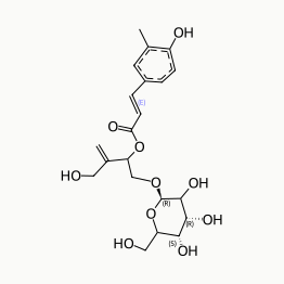 C=C(CO)C(CO[C@@H]1OC(CO)[C@@H](O)[C@@H](O)C1O)OC(=O)/C=C/c1ccc(O)c(C)c1